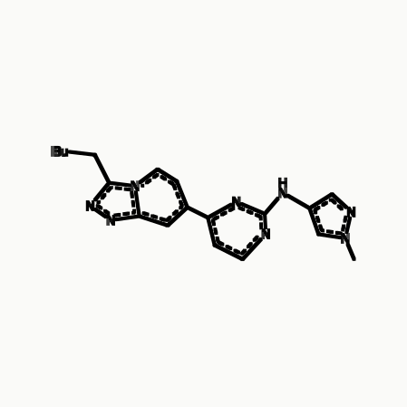 CCC(C)Cc1nnc2cc(-c3ccnc(Nc4cnn(C)c4)n3)ccn12